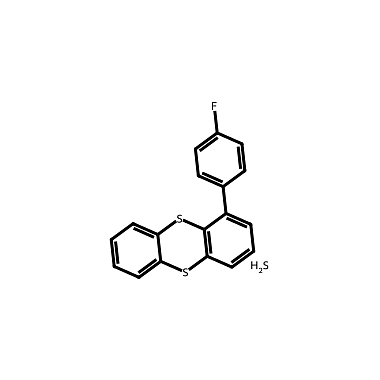 Fc1ccc(-c2cccc3c2Sc2ccccc2S3)cc1.S